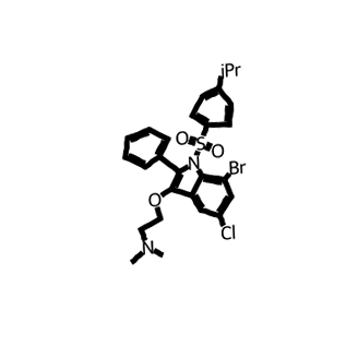 CC(C)c1ccc(S(=O)(=O)n2c(-c3ccccc3)c(OCCN(C)C)c3cc(Cl)cc(Br)c32)cc1